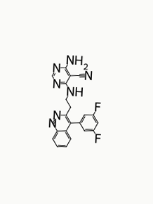 N#Cc1c(N)ncnc1NCCc1nnc2ccccc2c1-c1cc(F)cc(F)c1